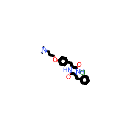 CN(C)CCCOc1ccc(C=c2[nH]c(=O)c(=Cc3ccccc3Cl)[nH]c2=O)cc1